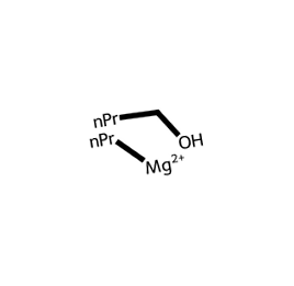 CCCCO.CC[CH2][Mg+2]